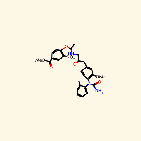 COC(=O)c1ccc(OC(C)NCC(=O)Cc2ccc(N(C(N)=O)c3ccccc3C)c(OC)c2)c([N+](=O)[O-])c1